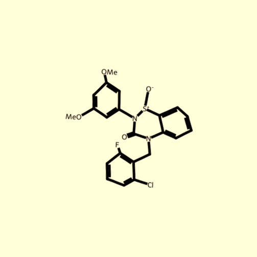 COc1cc(OC)cc(N2C(=O)N(Cc3c(F)cccc3Cl)c3ccccc3[S+]2[O-])c1